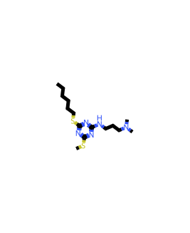 CCCCCCSc1nc(NCCCN(C)C)nc(SC)n1